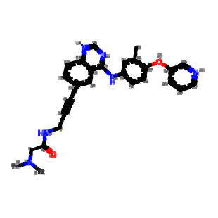 CCN(CC)CC(=O)NCC#Cc1ccc2ncnc(Nc3ccc(Oc4cccnc4)c(C)c3)c2c1